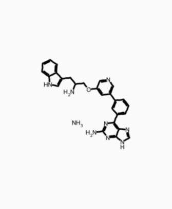 N.Nc1nc(-c2cccc(-c3cncc(OCC(N)Cc4c[nH]c5ccccc45)c3)c2)c2nc[nH]c2n1